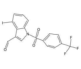 O=Cc1cn(S(=O)(=O)c2ccc(C(F)(F)F)cc2)c2cccc(I)c12